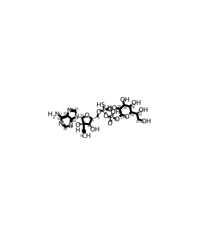 C#C[C@@]1(O)[C@H](O)[C@@H](COP(=O)(S)OP(=O)(O)OC2OC([C@@H](O)CO)C(O)C(O)C2O)O[C@H]1n1cnc2c(N)ncnc21